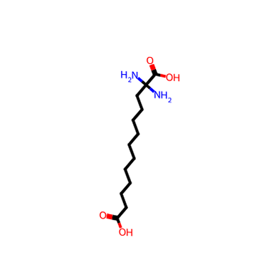 NC(N)(CCCCCCCCCCC(=O)O)C(=O)O